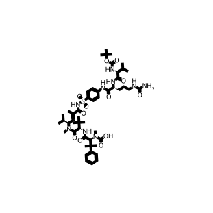 C/C(=C\[C@H](C(C)C)N(C)C(=O)[C@@H](NC(=O)[C@@H](N(C)C(=O)O)C(C)(C)c1ccccc1)C(C)(C)C)C(=O)NS(=O)(=O)c1ccc(NC(=O)[C@@H](CCCNC(N)=O)NC(=O)[C@H](NC(=O)OC(C)(C)C)C(C)C)cc1